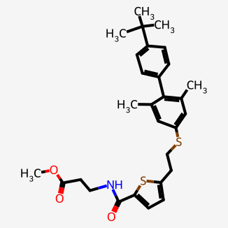 COC(=O)CCNC(=O)c1ccc(CCSc2cc(C)c(-c3ccc(C(C)(C)C)cc3)c(C)c2)s1